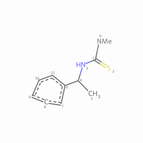 CNC(=S)NC(C)c1ccccc1